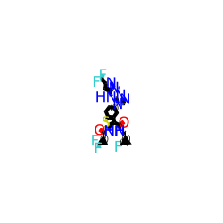 Cn1nc(C(F)F)cc1Nc1nncn1[C@H]1CCc2sc(NC(=O)[C@H]3CC3(F)F)c(C(=O)NC[C@H]3C[C@H]3F)c2C1